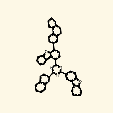 c1ccc2cc(-c3nc(-c4ccc5oc6ccccc6c5c4)nc(-c4ccc(-c5ccc6c(ccc7ccccc76)c5)c5oc6ccccc6c45)n3)ccc2c1